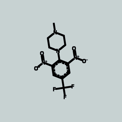 CN1CCN(c2c([N+](=O)[O-])cc(C(F)(F)F)cc2[N+](=O)[O-])CC1